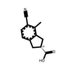 Cc1c(C#N)ccc2c1C[C@H](C(=O)O)C2